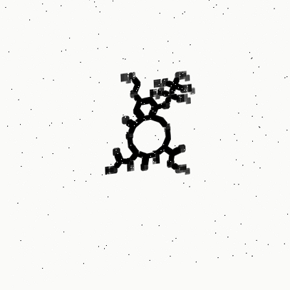 CCOc1cc(O[Si](C)(C)C(C)(C)C)c2c(c1)C(=O)OCC(NC(=O)O)C(=O)NC(C(=O)OC)CSC2